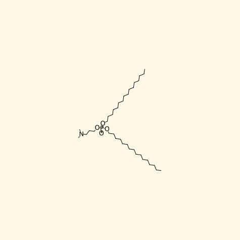 CCCCCCCCCCCCCCCCOP(=O)(OCCCCCCCCCCCCCCCC)OCCCN(C)C